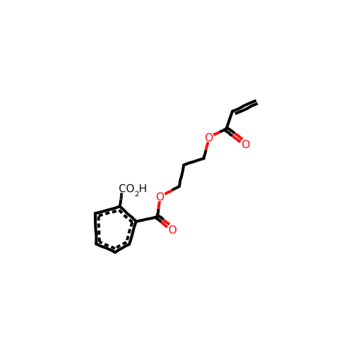 C=CC(=O)OCCCOC(=O)c1ccccc1C(=O)O